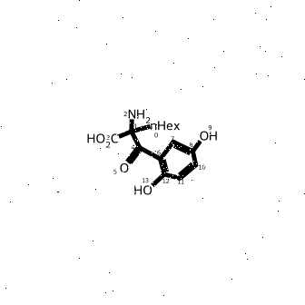 CCCCCCC(N)(C(=O)O)C(=O)c1cc(O)ccc1O